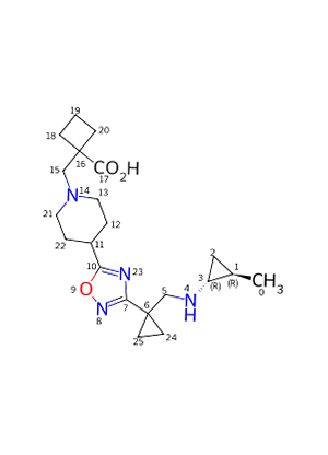 C[C@@H]1C[C@H]1NCC1(c2noc(C3CCN(CC4(C(=O)O)CCC4)CC3)n2)CC1